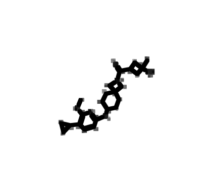 COc1nc(OC2CCC3(CC2)CN(C(=O)C2CC(C)(O)C2)C3)ccc1C1CC1